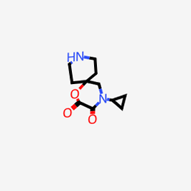 O=C1OC2(CCNCC2)CN(C2CC2)C1=O